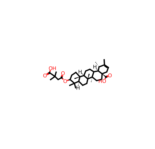 CC1=CC[C@]2(C(=O)O)CC[C@]3(C)C(CC[C@@H]4[C@@]5(C)CCC(OC(=O)CC(C)(C)C(=O)O)C(C)(C)[C@@H]5CC[C@]43C)[C@H]2[C@@H]1C